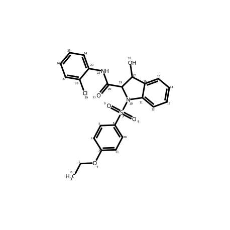 CCOc1ccc(S(=O)(=O)N2c3ccccc3C(O)C2C(=O)Nc2ccccc2Cl)cc1